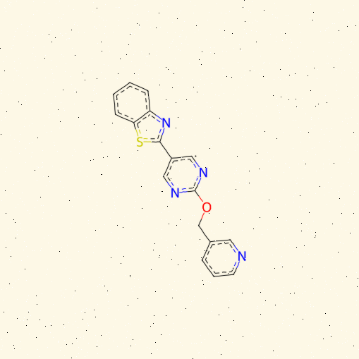 [c]1nc(OCc2cccnc2)ncc1-c1nc2ccccc2s1